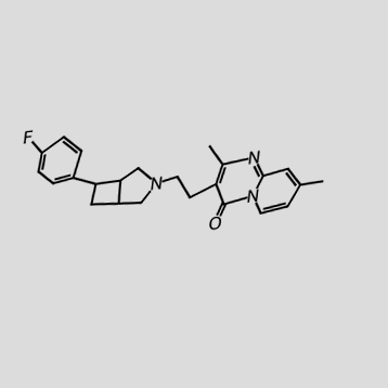 Cc1ccn2c(=O)c(CCN3CC4CC(c5ccc(F)cc5)C4C3)c(C)nc2c1